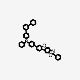 c1ccc(-c2cccc(-c3ccc(N(c4ccccc4)c4ccc(-c5ccc6c(c5)oc5cc7nc(-c8ccccc8)oc7cc56)cc4)cc3)c2)cc1